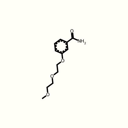 COCCOCCOc1cccc(C(N)=O)c1